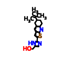 CC(C)(C)C1CCc2nc3sc(-c4ncc(CO)[nH]4)cc3cc2C1